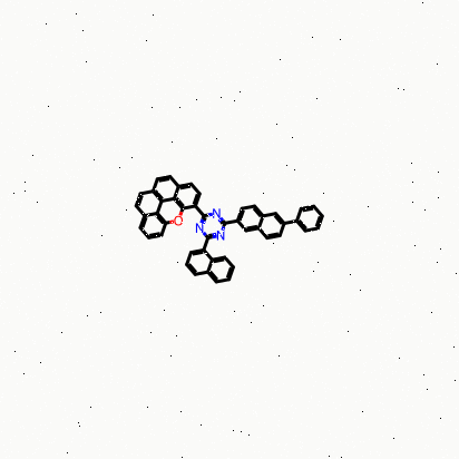 c1ccc(-c2ccc3cc(-c4nc(-c5ccc6ccc7ccc8cccc9c8c7c6c5O9)nc(-c5cccc6ccccc56)n4)ccc3c2)cc1